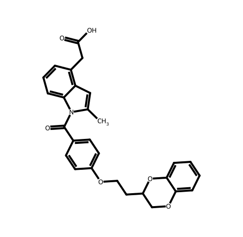 Cc1cc2c(CC(=O)O)cccc2n1C(=O)c1ccc(OCCC2COc3ccccc3O2)cc1